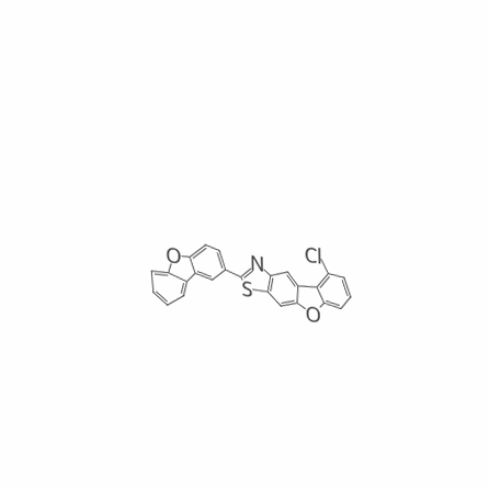 Clc1cccc2oc3cc4sc(-c5ccc6oc7ccccc7c6c5)nc4cc3c12